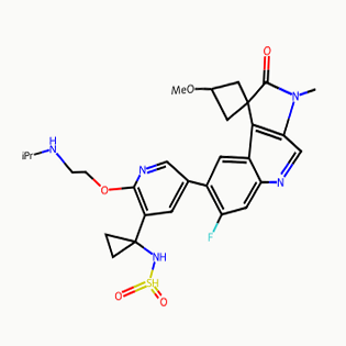 COC1CC2(C1)C(=O)N(C)c1cnc3cc(F)c(-c4cnc(OCCNC(C)C)c(C5(N[SH](=O)=O)CC5)c4)cc3c12